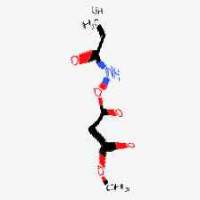 C=CC(=O)NOC(=O)CC(=O)OC.[LiH]